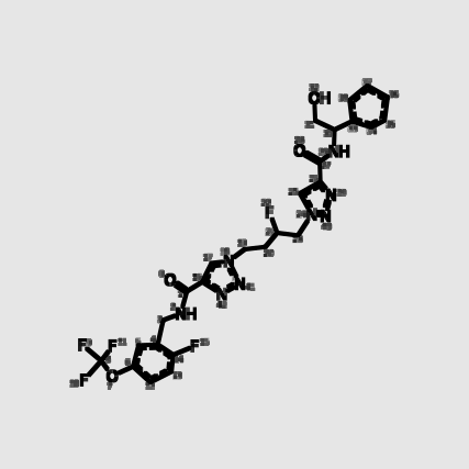 O=C(NCc1cc(OC(F)(F)F)ccc1F)c1cn(CCC(F)Cn2cc(C(=O)NC(CO)c3ccccc3)nn2)nn1